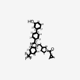 O=C(C1CC1)N1CCC(Cn2c(-c3ccc(-c4cccc(O)c4)cc3)nc3cc(C(F)(F)F)ccc32)C1